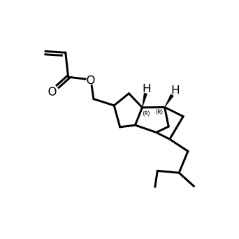 C=CC(=O)OCC1CC2C3C[C@@H](CC3CC(C)CC)[C@H]2C1